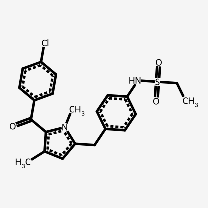 CCS(=O)(=O)Nc1ccc(Cc2cc(C)c(C(=O)c3ccc(Cl)cc3)n2C)cc1